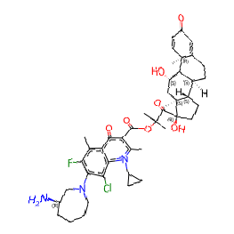 Cc1c(F)c(N2CCCC[C@@H](N)C2)c(Cl)c2c1c(=O)c(C(=O)OC(C)(C)C(=O)[C@@]1(O)CC[C@H]3[C@@H]4CCC5=CC(=O)C=C[C@]5(C)C4[C@@H](O)C[C@@]31C)c(C)n2C1CC1